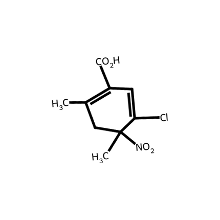 CC1=C(C(=O)O)C=C(Cl)C(C)([N+](=O)[O-])C1